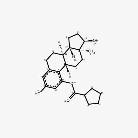 C[C@]12CC[C@@H]3c4c(cc(O)cc4OC(=O)C4CCCC4)CC[C@H]3[C@@H]1CC[C@H]2O